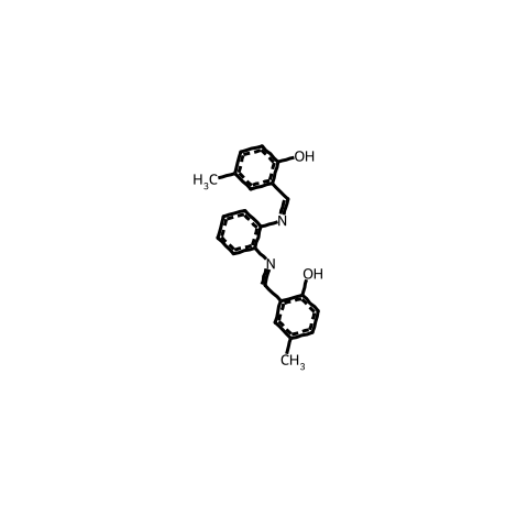 Cc1ccc(O)c(/C=N\c2ccccc2/N=C/c2cc(C)ccc2O)c1